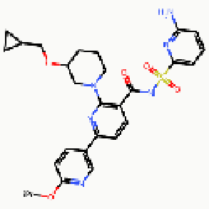 CC(C)Oc1ccc(-c2ccc(C(=O)NS(=O)(=O)c3cccc(N)n3)c(N3CCCC(OCC4CC4)C3)n2)cn1